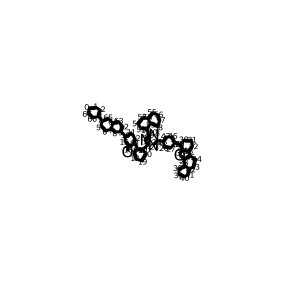 c1ccc(-c2ccc3cc(-c4ccc5c(c4)oc4cccc(-c6nc(-c7ccc(-c8cccc9c8oc8c%10ccccc%10ccc98)cc7)nc(-c7cccc8ccccc78)n6)c45)ccc3c2)cc1